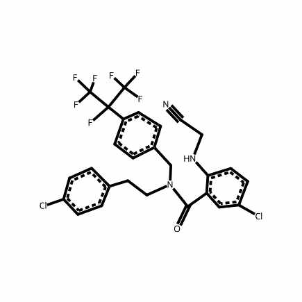 N#CCNc1ccc(Cl)cc1C(=O)N(CCc1ccc(Cl)cc1)Cc1ccc(C(F)(C(F)(F)F)C(F)(F)F)cc1